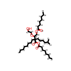 CCCCCCCCC(CCCCC(C)C)(C(=O)OC(=O)CCCCCCC)C(COC(=O)CCCCCCC)OCCO